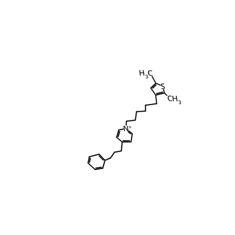 Cc1cc(CCCCCC[n+]2ccc(CCCc3ccccc3)cc2)c(C)s1